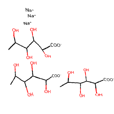 CC(O)C(O)C(O)C(O)C(=O)[O-].CC(O)C(O)C(O)C(O)C(=O)[O-].CC(O)C(O)C(O)C(O)C(=O)[O-].[Na+].[Na+].[Na+]